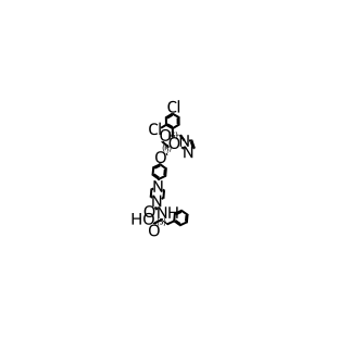 O=C(O)[C@H](Cc1ccccc1)NC(=O)N1CCN(c2ccc(OC[C@@H]3CO[C@@](Cn4ccnc4)(c4ccc(Cl)cc4Cl)O3)cc2)CC1